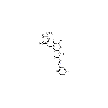 CCCC(NC(=O)/C=C/c1ccccc1)Oc1ccc(C(N)=O)c(O)c1